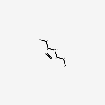 C=C.CCCOCCC